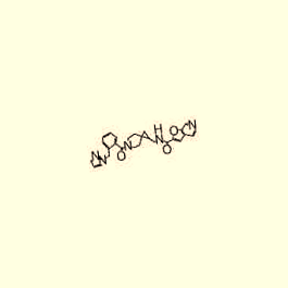 O=C(NCC1CC12CCN(C(=O)c1ccccc1Cn1cccn1)CC2)c1cc2ccncc2o1